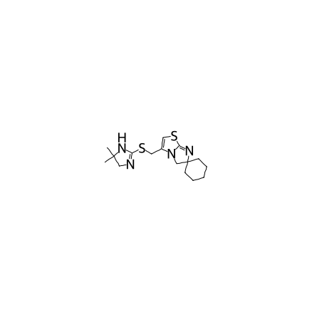 CC1(C)CN=C(SCC2=CSC3=NC4(CCCCC4)CN23)N1